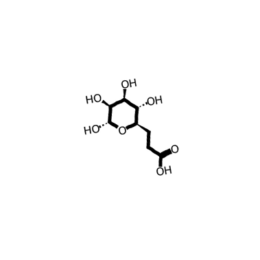 O=C(O)CC[C@H]1O[C@H](O)[C@@H](O)[C@@H](O)[C@@H]1O